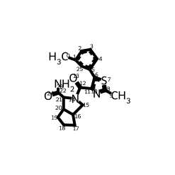 Cc1cccc(-c2sc(C)nc2C(=O)N2CC3CCCC3C2C(N)=O)c1